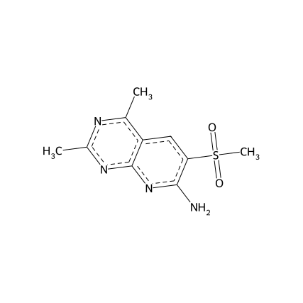 Cc1nc(C)c2cc(S(C)(=O)=O)c(N)nc2n1